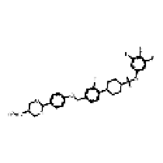 CCCCCC1COC(c2ccc(OCc3ccc(C4CCC(C(F)(F)Oc5cc(F)c(F)c(F)c5)CC4)c(F)c3)cc2)OC1